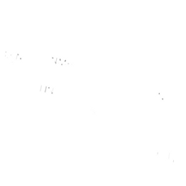 CN/C(=C\[N+](=O)[O-])NCCSCc1cc(C)c(CN2CCCC2)o1